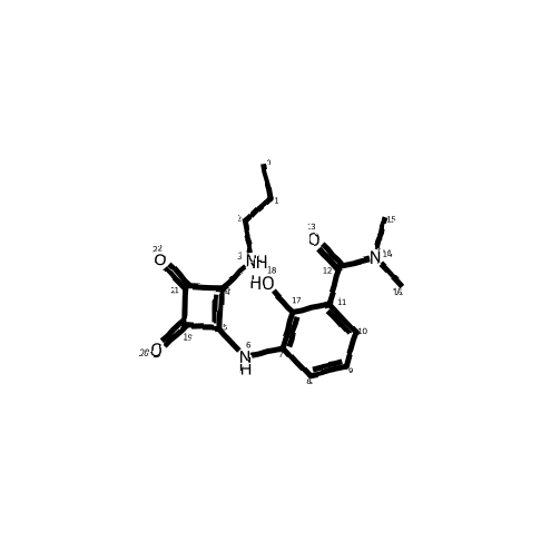 CCCNc1c(Nc2cccc(C(=O)N(C)C)c2O)c(=O)c1=O